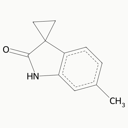 Cc1ccc2c(c1)NC(=O)C21CC1